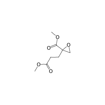 COC(=O)CCC1(C(=O)OC)CO1